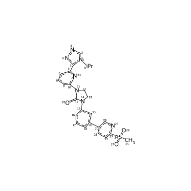 CC(C)n1cnnc1-c1cccc(N2CCN(c3cccc(-c4ccc(S(C)(=O)=O)nc4)c3)C2=O)n1